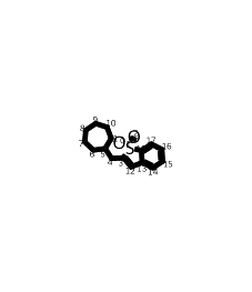 O=S1(=O)C(CC2CCCCCC2)=Cc2cc[c]cc21